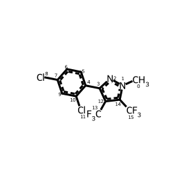 Cn1nc(-c2ccc(Cl)cc2Cl)c(C(F)(F)F)c1C(F)(F)F